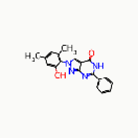 Cc1cc(C)c(-n2cc3c(=O)[nH]c(-c4ccccc4)nc3n2)c(O)c1